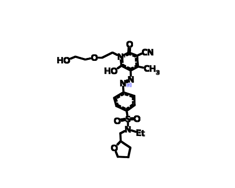 CCN(CC1CCCO1)S(=O)(=O)c1ccc(/N=N/c2c(C)c(C#N)c(=O)n(CCOCCO)c2O)cc1